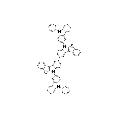 c1ccc(-n2c3ccccc3c3cc(-n4c5ccc(-c6ccc7c(c6)c6c8ccccc8sc6n7-c6ccc7c(c6)c6ccccc6n7-c6ccccc6)cc5c5c6ccccc6oc54)ccc32)cc1